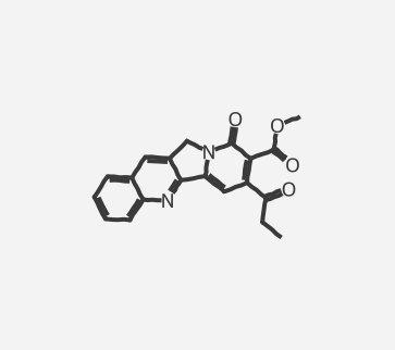 CCC(=O)c1cc2n(c(=O)c1C(=O)OC)Cc1cc3ccccc3nc1-2